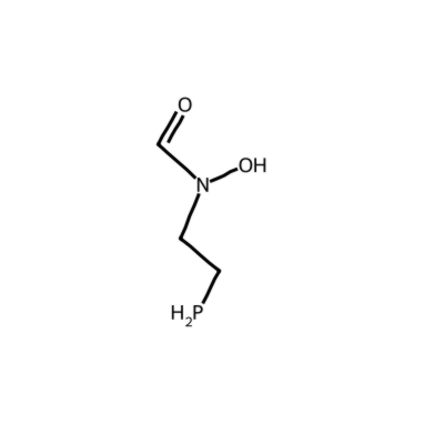 O=CN(O)CCP